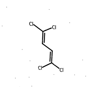 ClC(Cl)=CC=C(Cl)Cl